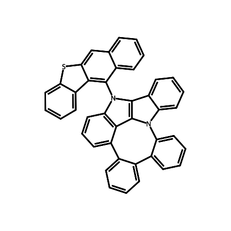 c1ccc2c(-n3c4cccc5c6ccccc6c6ccccc6n6c7ccccc7c3c6c54)c3c(cc2c1)sc1ccccc13